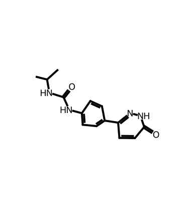 CC(C)NC(=O)Nc1ccc(-c2ccc(=O)[nH]n2)cc1